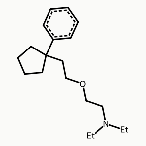 CCN(CC)CCOCCC1(c2ccccc2)CCCC1